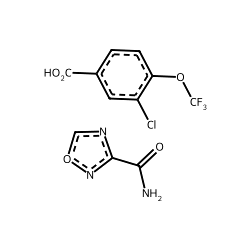 NC(=O)c1ncon1.O=C(O)c1ccc(OC(F)(F)F)c(Cl)c1